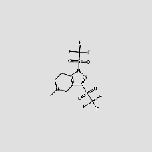 CN1CCc2c(c(S(=O)(=O)C(F)(F)F)nn2S(=O)(=O)C(F)(F)F)C1